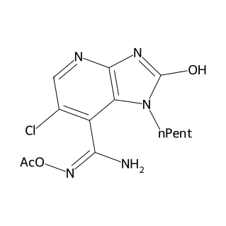 CCCCCn1c(O)nc2ncc(Cl)c(/C(N)=N\OC(C)=O)c21